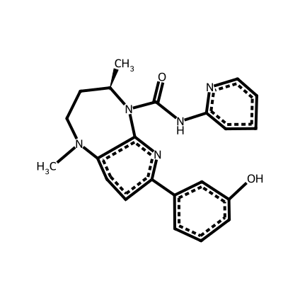 C[C@@H]1CCN(C)c2ccc(-c3cccc(O)c3)nc2N1C(=O)Nc1ccccn1